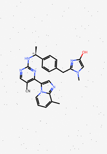 Cc1cccn2c(-c3nc(N[C@@H](C)c4ccc(Cc5nc(O)cn5C)cc4)ncc3C#N)cnc12